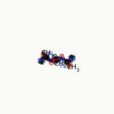 COc1ccc(CNC(=O)N2CC3(C)CN(C(=O)NCc4ccc(OC)c(Cn5cccn5)c4)CC(C)(C2)C3=O)cc1Cn1cccn1